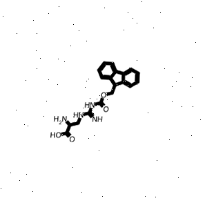 N=C(NCC(N)C(=O)O)NC(=O)OCC1c2ccccc2-c2ccccc21